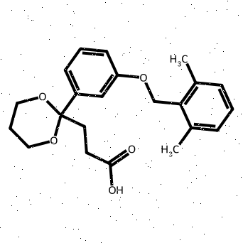 Cc1cccc(C)c1COc1cccc(C2(CCC(=O)O)OCCCO2)c1